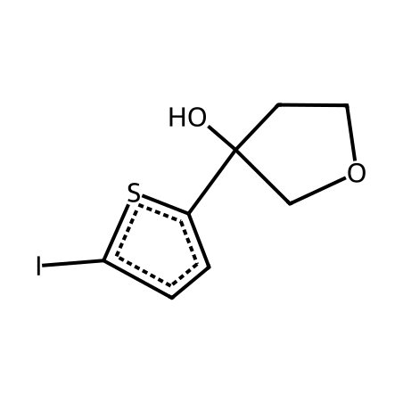 OC1(c2ccc(I)s2)CCOC1